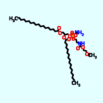 CCCCCCCCCCCCCCCCCC(=O)OCC(COP(=O)(ON)OCCNC(=O)OCCOC)OC(=O)CCCCCCCCCCCCCCCCC